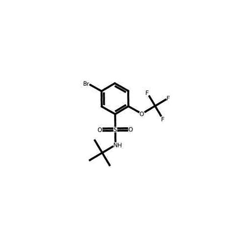 CC(C)(C)NS(=O)(=O)c1cc(Br)ccc1OC(F)(F)F